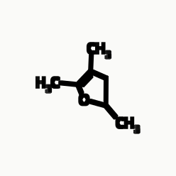 CC1=C(C)OC(C)C1